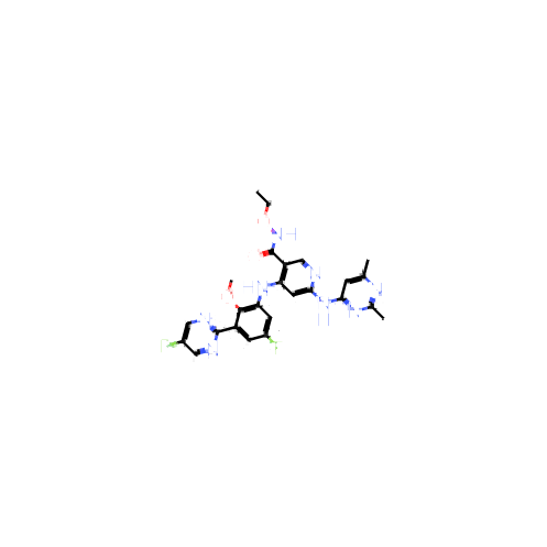 CCONC(=O)c1cnc(Nc2cc(C)nc(C)n2)cc1Nc1cc(F)cc(-c2ncc(F)cn2)c1OC